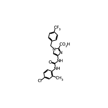 Cc1cc(Cl)ccc1NC(=O)Nc1cn(Cc2ccc(C(F)(F)F)cc2)c(C(=O)O)n1